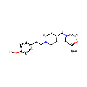 CCOc1ccc(CCN2CCC(CN(CC(=O)NC)C(=O)O)CC2)cc1